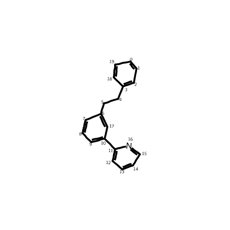 c1ccc(CCc2cccc(-c3ccccn3)c2)cc1